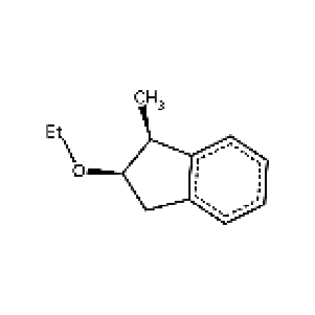 CCO[C@@H]1Cc2ccccc2[C@@H]1C